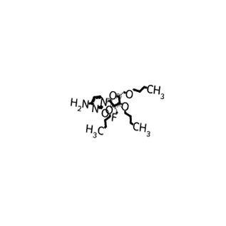 CCCCOC[C@H]1O[C@@H](n2ccc(N)nc2=O)[C@](CF)(OCCCC)[C@@H]1OCCCC